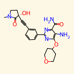 CN1CC[C@@](O)(C#Cc2cccc(-c3nc(OC4CCOCC4)c(N)c(C(N)=O)n3)c2)C1=O